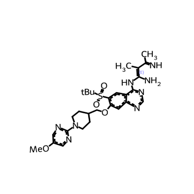 COc1cnc(N2CCC(COc3cc4ncnc(N/C(N)=C(\C)C(C)=N)c4cc3S(=O)(=O)C(C)(C)C)CC2)nc1